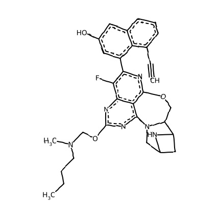 C#Cc1cccc2cc(O)cc(-c3nc4c5c(nc(OCN(C)CCCC)nc5c3F)N3CC5CC(N5)C3CO4)c12